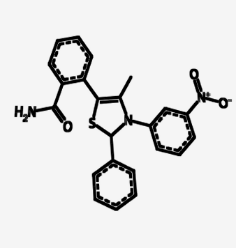 CC1=C(c2ccccc2C(N)=O)SC(c2ccccc2)N1c1cccc([N+](=O)[O-])c1